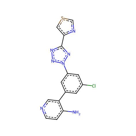 Nc1ccncc1-c1cc(Cl)cc(-n2nnc(-c3cscn3)n2)c1